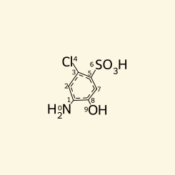 Nc1cc(Cl)c(S(=O)(=O)O)cc1O